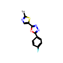 [2H]c1ncc(-c2nnc(-c3ccc(F)cc3)o2)s1